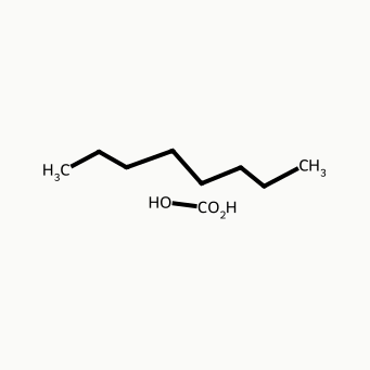 CCCCCCCC.O=C(O)O